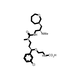 CN[C@H](CNC(=O)N(C)CC[C@@H](OCCNC(=O)O)c1cccc(Cl)c1)C[C@H]1CCCCOC1